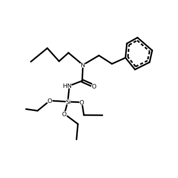 CCCCN(CCc1ccccc1)C(=O)N[Si](OCC)(OCC)OCC